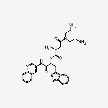 NCCN(CCN)C(=O)C[C@H](N)C(=O)N[C@@H](Cc1csc2ccccc12)C(=O)Nc1cnc2ccccc2c1